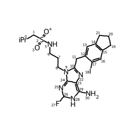 CC(C)CS(=O)(=O)NCCCn1c(Cc2cc3c(cc2I)CCC3)nc2c1=NC(F)NC=2N